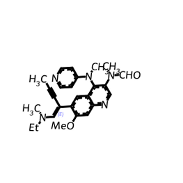 CC#C/C(=C\N(C)CC)c1cc2c(N(C)c3ccncc3)c(N(C)C=O)cnc2cc1OC